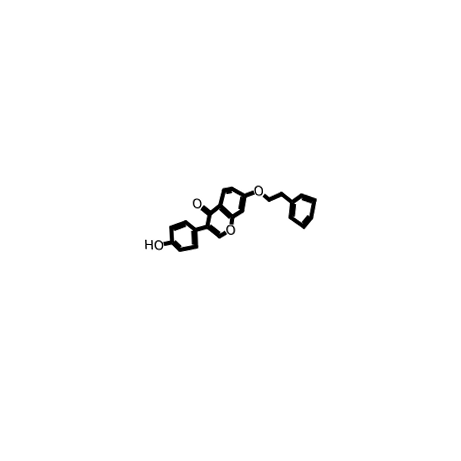 O=c1c(-c2ccc(O)cc2)coc2cc(OCCc3ccccc3)ccc12